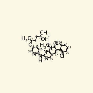 CC(O)CCC(C)Oc1ccc(Nc2ncc3cc(-c4c(Cl)cccc4Cl)c(=O)n(C)c3n2)nc1